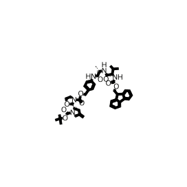 C=C1C[C@@H](C2OCCN2C(=O)OCc2ccc(NC(=O)[C@H](C)NC(=O)[C@@H](NC(=O)OCC3c4ccccc4-c4ccccc43)C(C)C)cc2)N(C(=O)OC(C)(C)C)C1